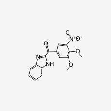 COc1cc(C(=O)c2nc3ccccc3[nH]2)cc([N+](=O)[O-])c1OC